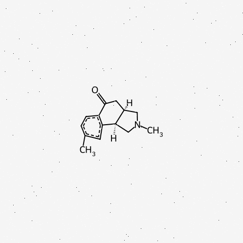 Cc1ccc2c(c1)[C@@H]1CN(C)C[C@@H]1CC2=O